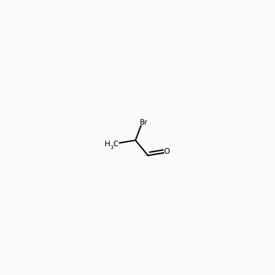 CC(Br)[C]=O